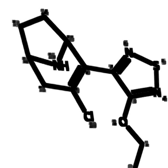 CCOc1nsnc1C1=C(Cl)CC2CCC1N2